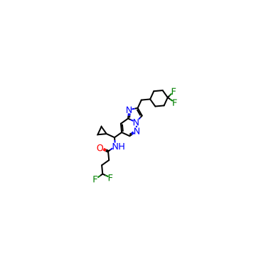 O=C(CCC(F)F)NC(c1cnn2cc(CC3CCC(F)(F)CC3)nc2c1)C1CC1